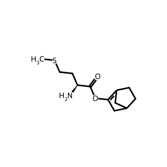 CSCC[C@H](N)C(=O)OC1=C2CCC(C2)C1